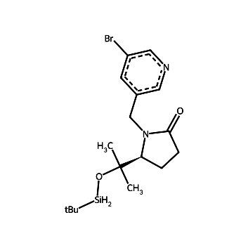 CC(C)(C)[SiH2]OC(C)(C)[C@@H]1CCC(=O)N1Cc1cncc(Br)c1